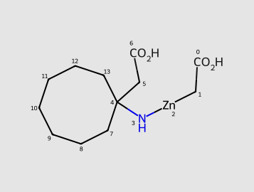 O=C(O)[CH2][Zn][NH]C1(CC(=O)O)CCCCCCC1